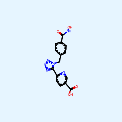 O=C(O)c1ccc(-c2nnnn2Cc2ccc(C(=O)NO)cc2)nc1